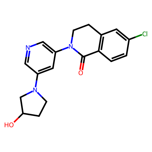 O=C1c2ccc(Cl)cc2CCN1c1cncc(N2CCC(O)C2)c1